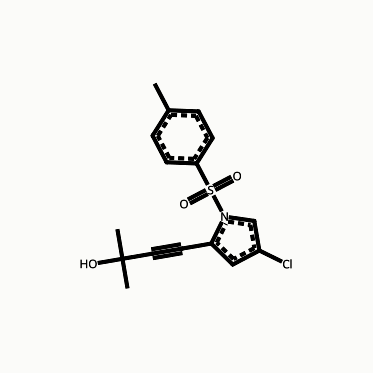 Cc1ccc(S(=O)(=O)n2cc(Cl)cc2C#CC(C)(C)O)cc1